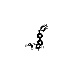 CC(C)OC(=O)N[C@@H]1C[C@H](C)Nc2ccc(-c3ccc(CN4CCS(=O)(=O)CC4)cc3)cc21